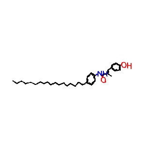 CCCCCCCCCCCCCCCCCCc1ccc(NC(=O)C(C)=Cc2ccc(O)cc2)cc1